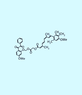 COc1ccc(C(=O)C(=O)c2ccccc2)c(OCOC(=O)COC(=O)C=C(C)C=CC=C(C)C=Cc2c(C)cc(OC)c(C)c2C)c1